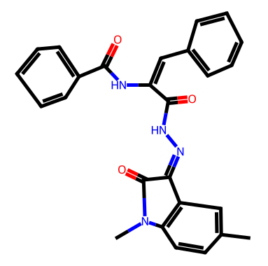 Cc1ccc2c(c1)/C(=N/NC(=O)/C(=C\c1ccccc1)NC(=O)c1ccccc1)C(=O)N2C